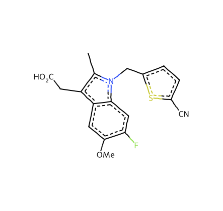 COc1cc2c(CC(=O)O)c(C)n(Cc3ccc(C#N)s3)c2cc1F